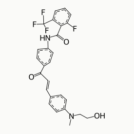 CN(CCO)c1ccc(/C=C/C(=O)c2ccc(NC(=O)c3c(F)cccc3C(F)(F)F)cc2)cc1